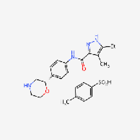 CCc1[nH]nc(C(=O)Nc2ccc([C@H]3CNCCO3)cc2)c1C.Cc1ccc(S(=O)(=O)O)cc1